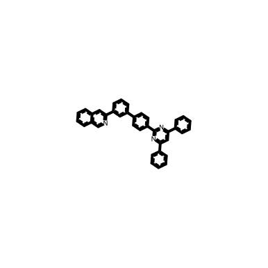 c1ccc(-c2cc(-c3ccccc3)nc(-c3ccc(-c4cccc(-c5cc6ccccc6cn5)c4)cc3)n2)cc1